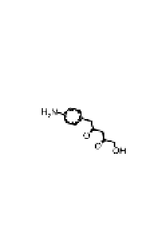 Nc1ccc(CC(=O)CC(=O)CO)cc1